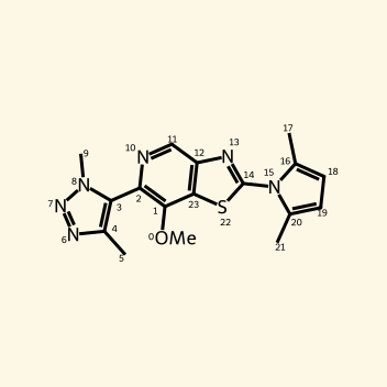 COc1c(-c2c(C)nnn2C)ncc2nc(-n3c(C)ccc3C)sc12